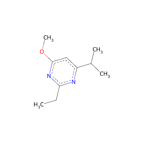 CCc1nc(OC)cc(C(C)C)n1